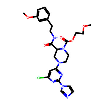 COCCOC(=O)N1CCN(c2cc(Cl)nc(-n3ccnc3)n2)CC1C(=O)NCCc1cccc(OC)c1